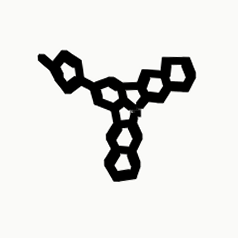 Cc1ccc(C2=CC3c4cc5ccccc5cc4N4c5cc6ccccc6cc5C(=C2)C34)cc1